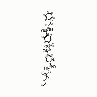 CCCOC(=O)CNC(=O)c1ccc(C(=O)NS(=O)(=O)c2ccc(C(=O)NCCc3ccccc3)cc2)cn1